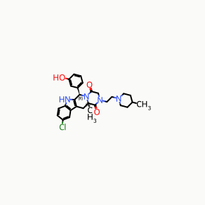 CC1CCN(CCN2CC(=O)N3[C@H](c4cccc(O)c4)c4[nH]c5ccc(Cl)cc5c4C[C@@]3(C)C2=O)CC1